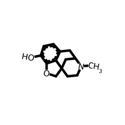 CN1CCC23COc4c(O)ccc(c42)CC1C3